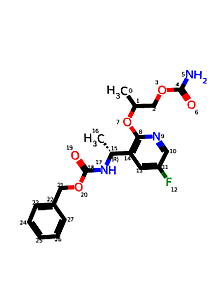 CC(COC(N)=O)Oc1ncc(F)cc1[C@@H](C)NC(=O)OCc1ccccc1